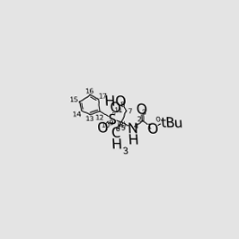 CC(C)(C)OC(=O)N[C@@](C)(CO)S(=O)(=O)c1ccccc1